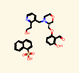 O=Cc1c(O)cccc1OC[C@@H]1COCCN1Cc1cccnc1CCO.O=S(=O)(O)c1cccc2ccccc12